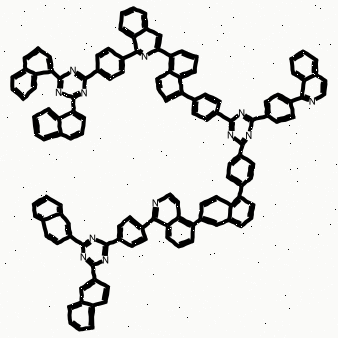 c1ccc2cc(-c3nc(-c4ccc(-c5nccc6c(-c7ccc8c(-c9ccc(-c%10nc(-c%11ccc(-c%12nccc%13ccccc%12%13)cc%11)nc(-c%11ccc(-c%12cccc%13c(-c%14cc%15ccccc%15c(-c%15ccc(-c%16nc(-c%17cccc%18ccccc%17%18)nc(-c%17cccc%18ccccc%17%18)n%16)cc%15)n%14)cccc%12%13)cc%11)n%10)cc9)cccc8c7)cccc56)cc4)nc(-c4ccc5ccccc5c4)n3)ccc2c1